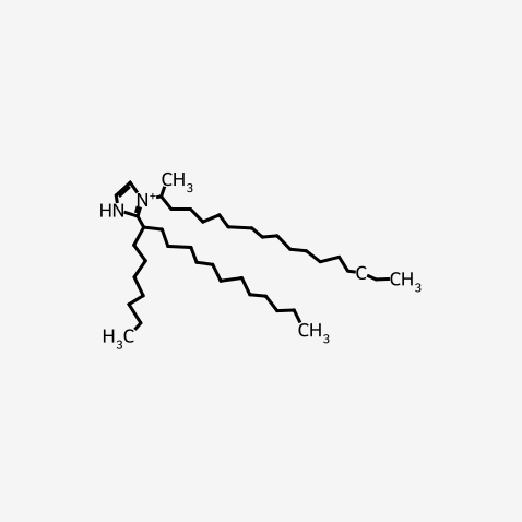 CCCCCCCCCCCCCCCCC(C)[n+]1cc[nH]c1C(CCCCCCC)CCCCCCCCCCCC